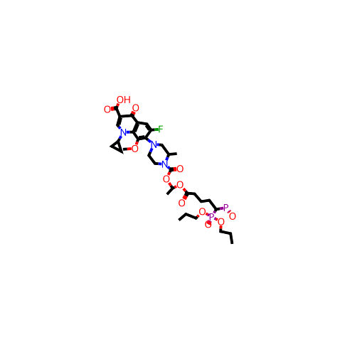 CCCOP(=O)(OCCC)C(CCCC(=O)OC(C)OC(=O)N1CCN(c2c(F)cc3c(=O)c(C(=O)O)cn(C4CC4)c3c2OC)CC1C)P=O